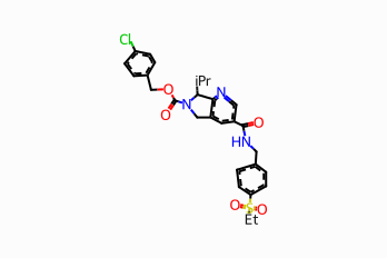 CCS(=O)(=O)c1ccc(CNC(=O)c2cnc3c(c2)CN(C(=O)OCc2ccc(Cl)cc2)C3C(C)C)cc1